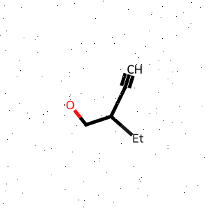 C#CC(CC)C[O]